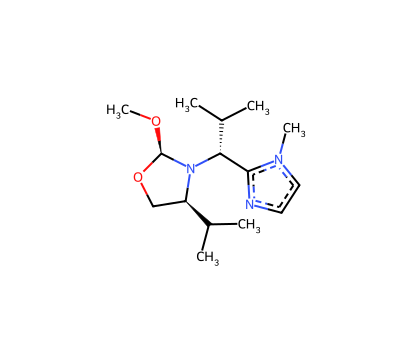 CO[C@@H]1OC[C@H](C(C)C)N1[C@@H](c1nccn1C)C(C)C